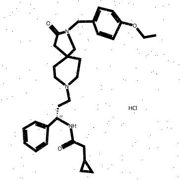 CCOc1ccc(CN2CC3(CCN(CC[C@H](NC(=O)CC4CC4)c4ccccc4)CC3)CC2=O)cc1.Cl